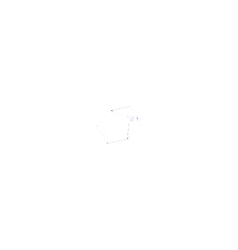 C1=CC2CC[C]1N2